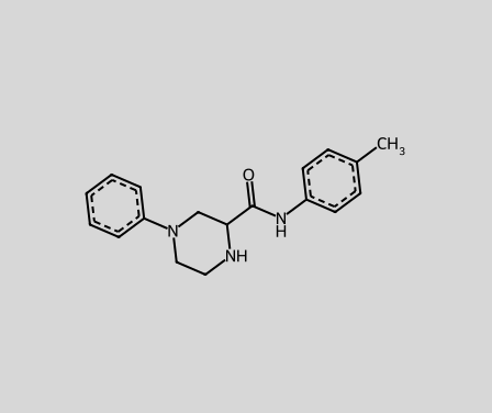 Cc1ccc(NC(=O)C2CN(c3ccccc3)CCN2)cc1